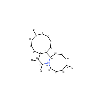 CC1CCCCC2C(CCC1)C(C)C(C)N1CCCC(C)CCCC21